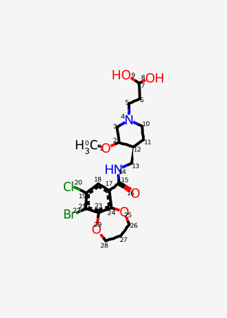 COC1CN(CCC(O)O)CC[C@H]1CNC(=O)c1cc(Cl)c(Br)c2c1OCCCO2